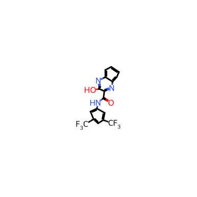 O=C(Nc1cc(C(F)(F)F)cc(C(F)(F)F)c1)c1nc2ccccc2nc1O